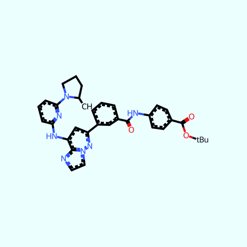 CC1CCCN1c1cccc(Nc2cc(-c3cccc(C(=O)Nc4ccc(C(=O)OC(C)(C)C)cc4)c3)nn3ccnc23)n1